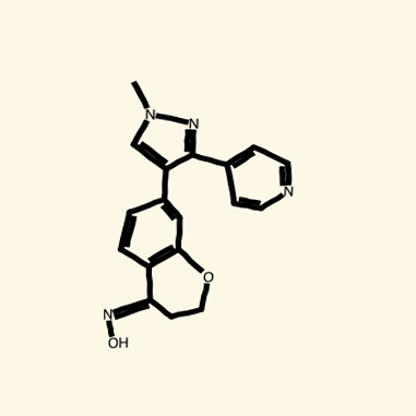 Cn1cc(-c2ccc3c(c2)OCC/C3=N\O)c(-c2ccncc2)n1